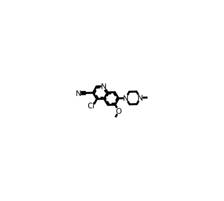 COc1cc2c(Cl)c(C#N)cnc2cc1N1CCN(C)CC1